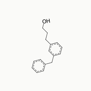 OCCCc1cccc(Cc2ccccc2)c1